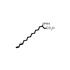 C=C/C=C/CCCCCCCCCC(CCCCCC)CC(=O)O